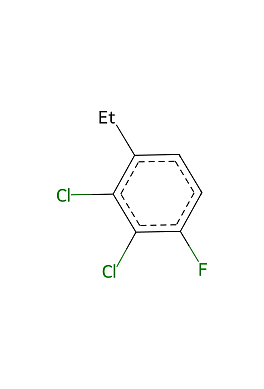 CCc1ccc(F)c(Cl)c1Cl